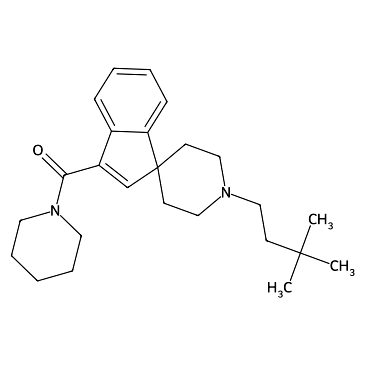 CC(C)(C)CCN1CCC2(C=C(C(=O)N3CCCCC3)c3ccccc32)CC1